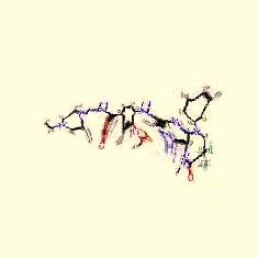 C=C(/N=C1\C(=C/N)N(C)C(=O)C(F)(F)CN1C1CCCCC1)Nc1ccc(C(=O)NN2CCN(CC)CC2)cc1OC